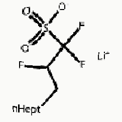 CCCCCCCCC(F)C(F)(F)S(=O)(=O)[O-].[Li+]